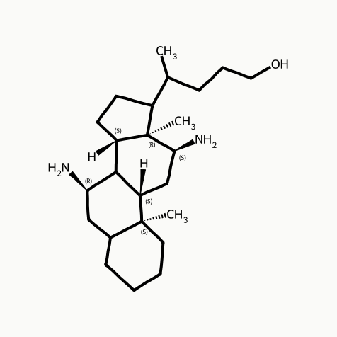 CC(CCCO)C1CC[C@H]2C3[C@H](N)CC4CCCC[C@]4(C)[C@H]3C[C@H](N)[C@]12C